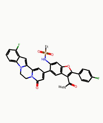 CCS(=O)(=O)Nc1cc2oc(-c3ccc(F)cc3)c(C(=O)NC)c2cc1-c1cc2n(c(=O)c1)CCn1c-2cc2c(F)cccc21